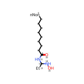 CCCCCCCCCCCCCCCCCC(=O)NC(CC)NO